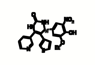 CCOc1cc([C@H]2NC(=O)NC(c3cccnc3)=C2c2ccsc2)cc([N+](=O)[O-])c1O